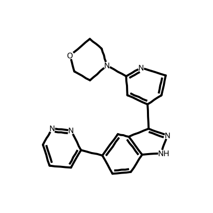 c1cnnc(-c2ccc3[nH]nc(-c4ccnc(N5CCOCC5)c4)c3c2)c1